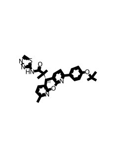 Cc1ccc2c(n1)Oc1nc(-c3ccc(OC(C)(C)C)cc3)ccc1[C@H]2C(C)(C)C(=O)Nc1nncs1